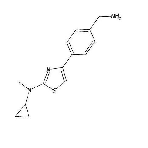 CN(c1nc(-c2ccc(CN)cc2)cs1)C1CC1